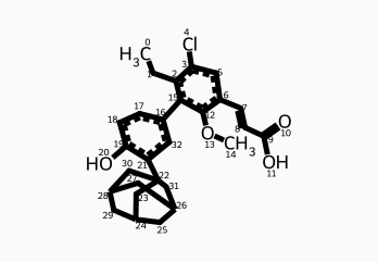 CCc1c(Cl)cc(C=CC(=O)O)c(OC)c1-c1ccc(O)c(C23CC4CC(CC(C4)C2)C3)c1